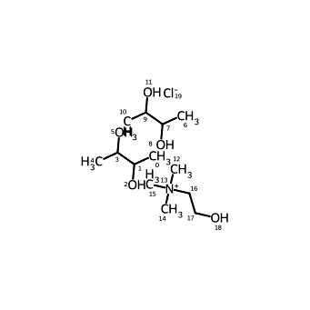 CC(O)C(C)O.CC(O)C(C)O.C[N+](C)(C)CCO.[Cl-]